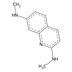 [CH2]Nc1ccc2ccc(NC)nc2c1